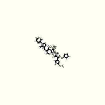 Nc1nc(C(=NOC2CCCC2)C(=O)N[C@@H]2C(=O)N3C(C(=O)O)=C(C=C4CCN(c5cccnc5)C4=O)CS[C@H]23)cs1